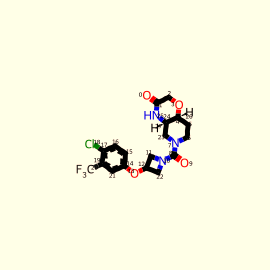 O=C1CO[C@H]2CCN(C(=O)N3CC(Oc4ccc(Cl)c(C(F)(F)F)c4)C3)C[C@H]2N1